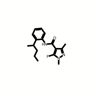 CCCC(C)c1ccccc1NC(=O)c1c(C)nn(C)c1F